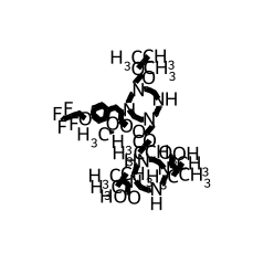 CC(C)(C)C(C(=O)O)N1CCNCCN(C(C(=O)O)C(C)(C)C)CCNCC1.CCOC(=O)C(Cc1ccc(OCC(F)(F)C(F)F)cc1)N1CCN(CC(=O)OC(C)(C)C)CCNCCN(CC(=O)OC(C)(C)C)CC1